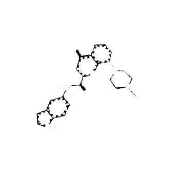 CN1CCN(c2cccc3c(=O)cc(C(=O)Nc4ccc5[nH]ccc5c4)oc23)CC1